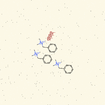 C[N+](C)(C)Cc1ccccc1.C[N+](C)(C)Cc1ccccc1.C[N+](C)(C)Cc1ccccc1.[Br-].[Br-].[Br-]